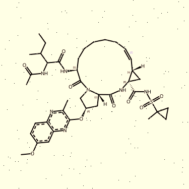 CCC(C)C(NC(C)=O)C(=O)N[C@H]1CCCCC/C=C\[C@@H]2C[C@@]2(C(=O)NS(=O)(=O)C2(C)CC2)NC(=O)[C@@H]2C[C@@H](Oc3nc4cc(OC)ccc4nc3C)CN2C1=O